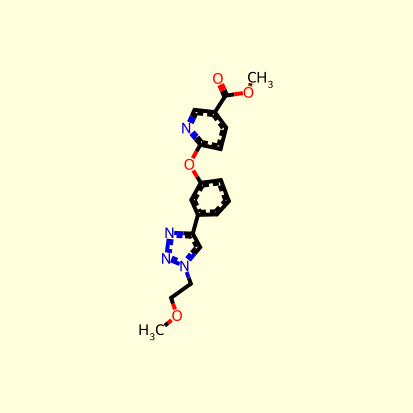 COCCn1cc(-c2cccc(Oc3ccc(C(=O)OC)cn3)c2)nn1